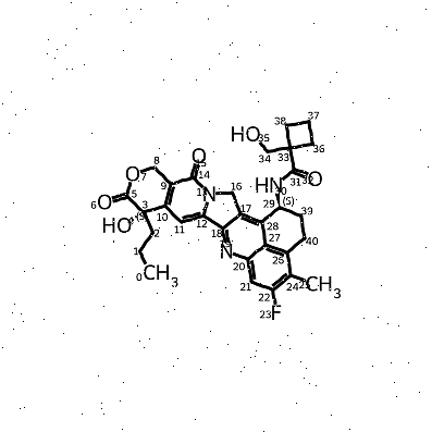 CCC[C@@]1(O)C(=O)OCc2c1cc1n(c2=O)Cc2c-1nc1cc(F)c(C)c3c1c2[C@@H](NC(=O)C1(CO)CCC1)CC3